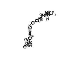 Cc1cc(-c2ccc(CN3CCC(N4CC5(CN(c6cc7c(cc6F)C(=O)N(C6CCC(=O)NC6=O)C7=O)C5)C4)CC3)cc2)ccc1-n1cc(C(=O)NCc2nc(C(C)(C)C(F)(F)F)n[nH]2)cn1